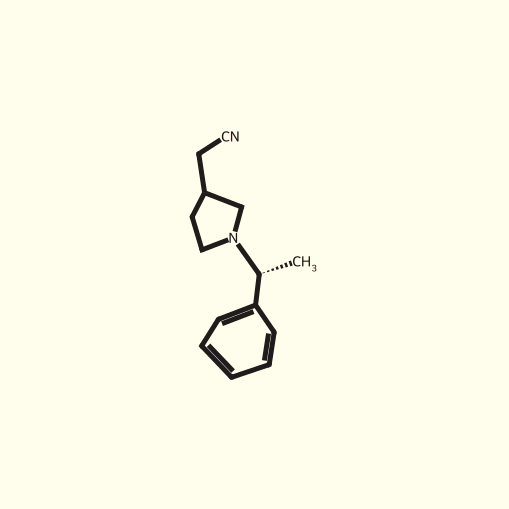 C[C@H](c1ccccc1)N1CCC(CC#N)C1